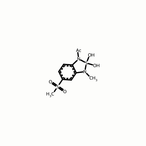 CC(=O)N1c2ccc(S(C)(=O)=O)cc2N(C)S1(O)O